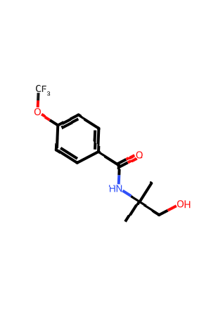 CC(C)(CO)NC(=O)c1ccc(OC(F)(F)F)cc1